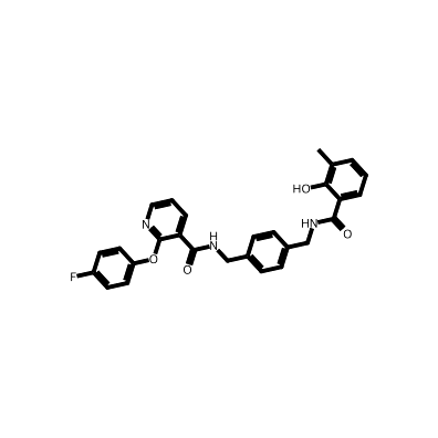 Cc1cccc(C(=O)NCc2ccc(CNC(=O)c3cccnc3Oc3ccc(F)cc3)cc2)c1O